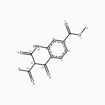 COC(=O)c1ccc2c(c1)NC(=O)C(C(C)=O)C2=O